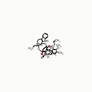 C=CCOc1c(OC)c(C)cc2c1[C@H]1C3[C@@H]4SC[C@]5(C(=O)OC[C@@H](c6c7c(c(C)c(O)c64)OCO7)N3[C@@H](C#N)[C@H](C2)N1C)c1[nH]c2ccccc2c1CCN5CC=C